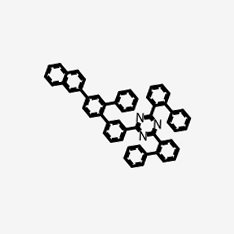 c1ccc(-c2cc(-c3ccc4ccccc4c3)ccc2-c2cccc(-c3nc(-c4ccccc4-c4ccccc4)nc(-c4ccccc4-c4ccccc4)n3)c2)cc1